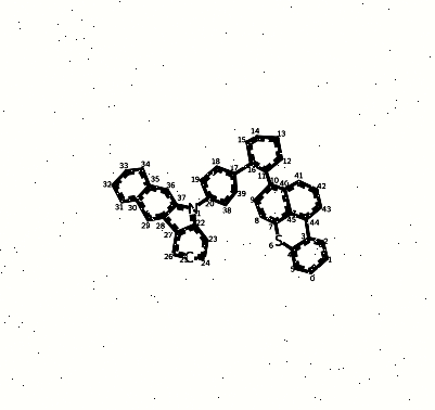 c1ccc2c(c1)Sc1ccc(-c3ccccc3-c3ccc(-n4c5ccccc5c5cc6ccccc6cc54)cc3)c3cccc-2c13